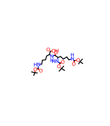 CC(C)(C)OC(=O)NCCCCC(NC(=O)C(CCCCNC(=O)OC(C)(C)C)NC(=O)OC(C)(C)C)C(=O)O